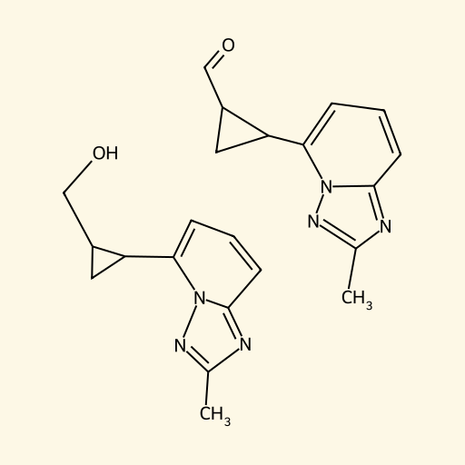 Cc1nc2cccc(C3CC3C=O)n2n1.Cc1nc2cccc(C3CC3CO)n2n1